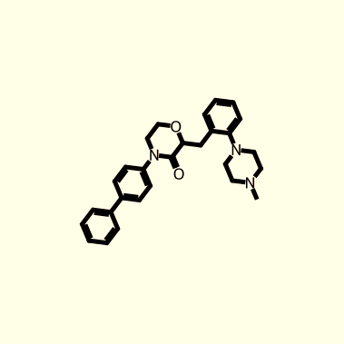 CN1CCN(c2ccccc2CC2OCCN(c3ccc(-c4ccccc4)cc3)C2=O)CC1